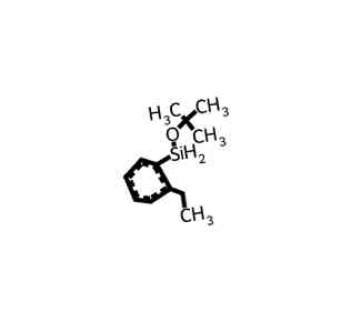 CCc1ccccc1[SiH2]OC(C)(C)C